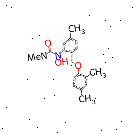 CNC(=O)N(O)c1cc(C)ccc1COc1ccc(C)cc1C